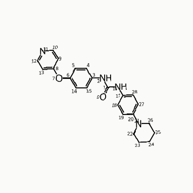 O=C(Nc1ccc(Oc2ccncc2)cc1)Nc1ccc(N2CCCCC2)cc1